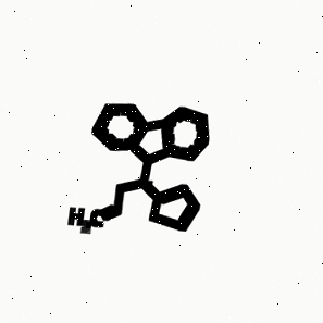 C=CC[C](C1=CC=CC1)C1c2ccccc2-c2ccccc21